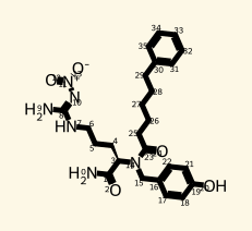 NC(=O)[C@@H](CCCNC(N)=N[N+](=O)[O-])N(Cc1ccc(O)cc1)C(=O)CCCCCc1ccccc1